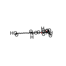 O=[C]CC[C@H](NC(=O)CCC(=O)NCCCOCCOCCCNC(=O)CCCCCCCCCCCCCCC(=O)O)C(=O)O